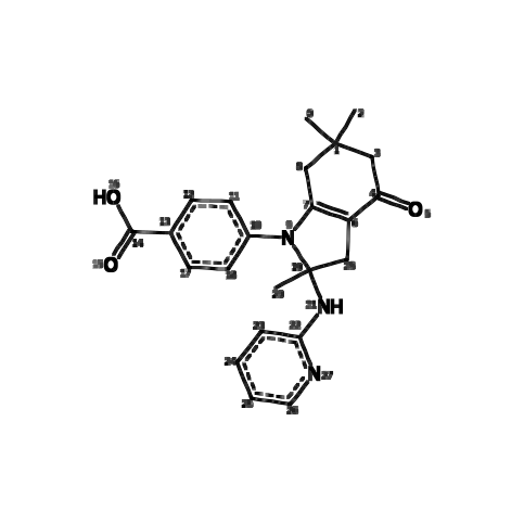 CC1(C)CC(=O)C2=C(C1)N(c1ccc(C(=O)O)cc1)C(C)(Nc1ccccn1)C2